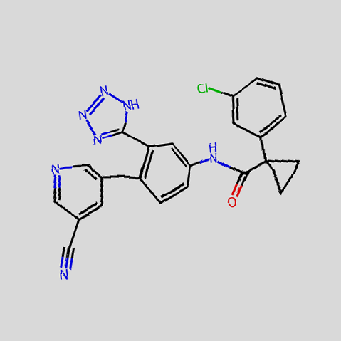 N#Cc1cncc(-c2ccc(NC(=O)C3(c4cccc(Cl)c4)CC3)cc2-c2nnn[nH]2)c1